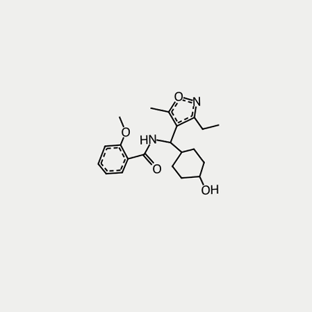 CCc1noc(C)c1C(NC(=O)c1ccccc1OC)C1CCC(O)CC1